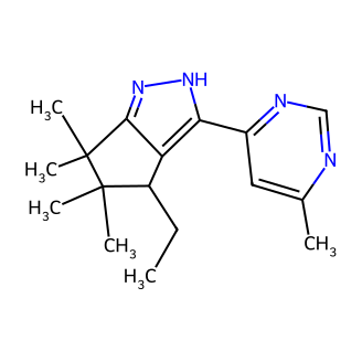 CCC1c2c(n[nH]c2-c2cc(C)ncn2)C(C)(C)C1(C)C